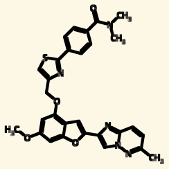 COc1cc(OCc2csc(-c3ccc(C(=O)N(C)C)cc3)n2)c2cc(-c3cn4nc(C)ccc4n3)oc2c1